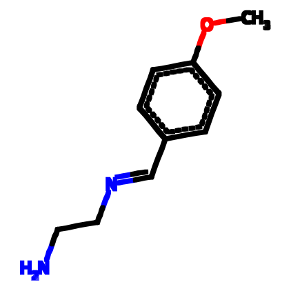 COc1ccc(/C=N/CCN)cc1